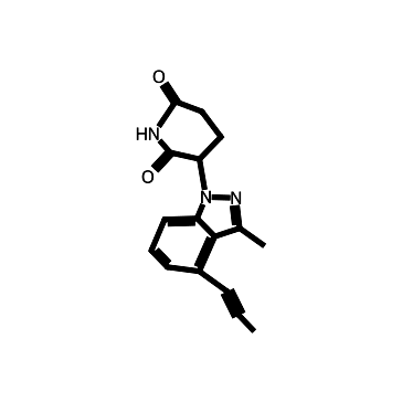 CC#Cc1cccc2c1c(C)nn2C1CCC(=O)NC1=O